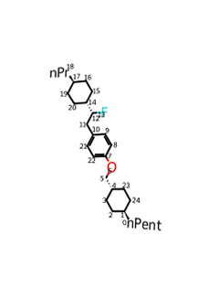 CCCCC[C@H]1CC[C@H](COc2ccc(CC(F)[C@H]3CC[C@H](CCC)CC3)cc2)CC1